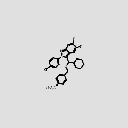 CCOC(=O)c1ccc(COC(c2c3cc(F)c(F)cc3nn2-c2ccc(Cl)cc2)C2CCCCC2)cc1